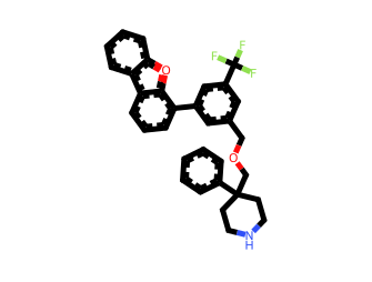 FC(F)(F)c1cc(COCC2(c3ccccc3)CCNCC2)cc(-c2cccc3c2oc2ccccc23)c1